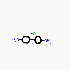 CCl.Nc1ccc(-c2ccc(N)cc2)cc1